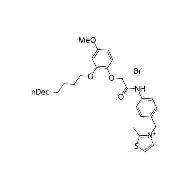 CCCCCCCCCCCCCCOc1cc(OC)ccc1OCC(=O)Nc1ccc(C[n+]2ccsc2C)cc1.[Br-]